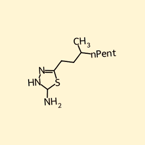 CCCCCC(C)CCC1=NNC(N)S1